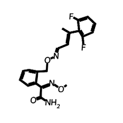 CON=C(C(N)=O)c1ccccc1CON=C/C=C(\C)c1c(F)cccc1F